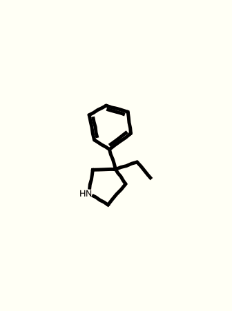 CCC1(c2ccccc2)CCNC1